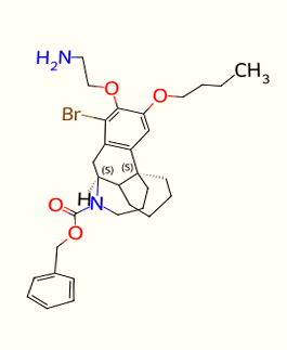 CCCCOc1cc2c(c(Br)c1OCCN)C[C@H]1C3CCCC[C@@]23CCCN1C(=O)OCc1ccccc1